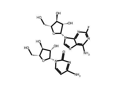 Nc1ccn([C@@H]2O[C@H](CO)[C@@H](O)[C@@H]2O)c(=O)n1.Nc1nc(F)nc2c1ncn2[C@@H]1O[C@H](CO)[C@@H](O)[C@@H]1O